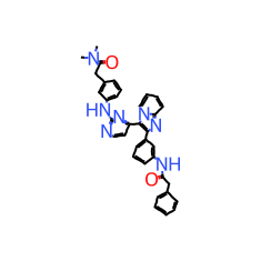 CN(C)C(=O)Cc1cccc(Nc2nccc(-c3c(-c4cccc(NC(=O)Cc5ccccc5)c4)nc4ccccn34)n2)c1